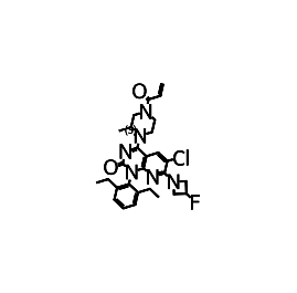 C=CC(=O)N1CCN(c2nc(=O)n(-c3c(CC)cccc3CC)c3nc(N4CC(F)C4)c(Cl)cc23)[C@@H](C)C1